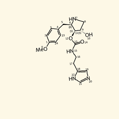 COc1ccc(C[C@H]2NC[C@H](O)[C@H]2OC(=O)NCCc2cnc[nH]2)cc1